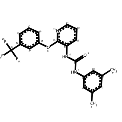 Cc1cc(C)cc(NC(=O)Nc2cccnc2Oc2cccc(C(F)(F)F)c2)c1